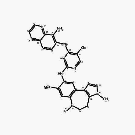 COc1cc2c(cc1Nc1ncc(Cl)c(Nc3ccc4nccnc4c3N)n1)-c1cnn(C)c1CCN2C(C)C